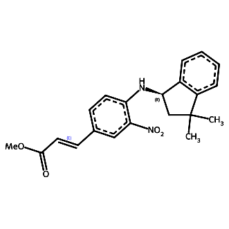 COC(=O)/C=C/c1ccc(N[C@@H]2CC(C)(C)c3ccccc32)c([N+](=O)[O-])c1